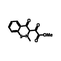 COC(=O)C(=O)C1C(=O)c2ccccc2SN1C